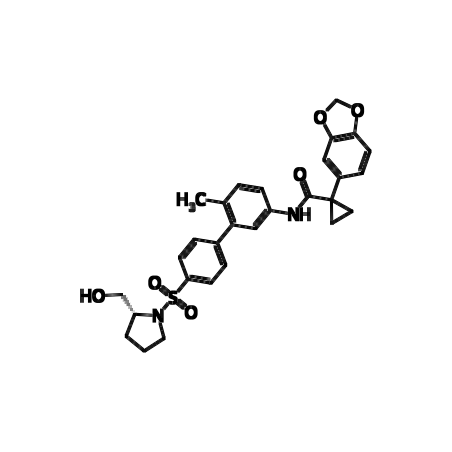 Cc1ccc(NC(=O)C2(c3ccc4c(c3)OCO4)CC2)cc1-c1ccc(S(=O)(=O)N2CCC[C@@H]2CO)cc1